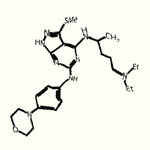 CCN(CC)CCCC(C)Nc1nc(Nc2ccc(N3CCOCC3)cc2)nc2[nH]nc(SC)c12